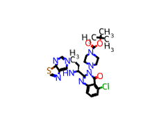 CC[C@H](Nc1ncnc2scnc12)c1nc2cccc(Cl)c2c(=O)n1N1CCN(C(=O)OC(C)(C)C)CC1